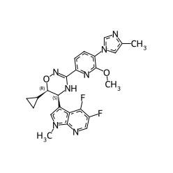 COc1nc(C2=NO[C@H](C3CC3)[C@H](c3cn(C)c4ncc(F)c(F)c34)N2)ccc1-n1cnc(C)c1